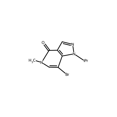 CC(C)n1ncc2c(=O)n(C)cc(Br)c21